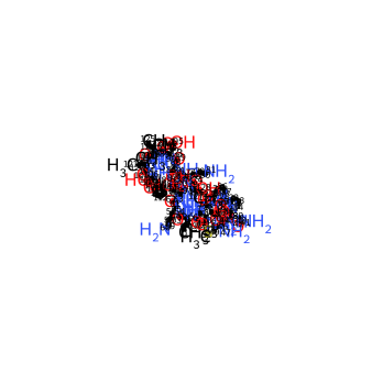 CC[C@H](C)[C@H](NC(=O)[C@H](CC(N)=O)NC(=O)[C@H](CC(=O)O)NC(=O)[C@@H]1CCCN1C(=O)[C@@H]1CCCN1C(=O)[C@H](CC(N)=O)NC(=O)[C@@H](N)CCSC)C(=O)N[C@@H](CCCCN)C(=O)N[C@@H](CC(=O)O)C(=O)N[C@H](C(=O)N[C@@H](CCCCN)C(=O)N[C@@H](CO)C(=O)N[C@@H](CC(=O)O)C(=O)N[C@H](C(=O)N[C@H](C(=O)N[C@@H](Cc1ccccc1)C(=O)O)[C@@H](C)CC)[C@@H](C)CC)[C@@H](C)O